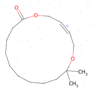 CC1(C)CCCCCCCCC(=O)OC/C=C\CO1